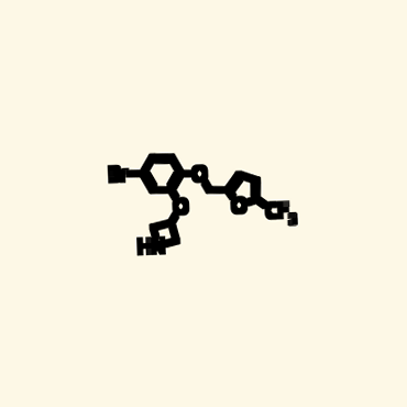 FC(F)(F)c1ccc(COc2ccc(Br)cc2OC2CNC2)o1